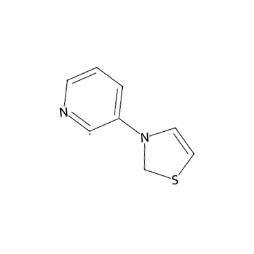 [c]1ncccc1N1C=CSC1